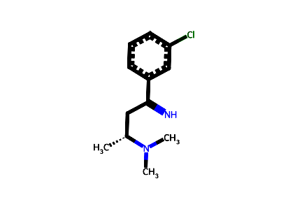 C[C@H](CC(=N)c1cc[c]c(Cl)c1)N(C)C